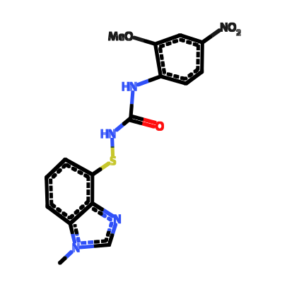 COc1cc([N+](=O)[O-])ccc1NC(=O)NSc1cccc2c1ncn2C